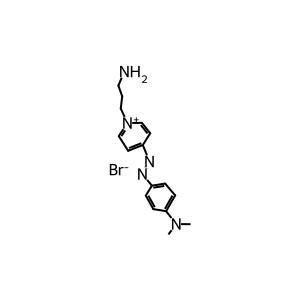 CN(C)c1ccc(/N=N/c2cc[n+](CCCN)cc2)cc1.[Br-]